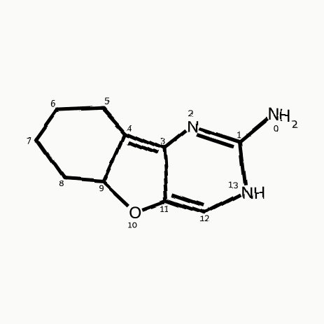 NC1=NC2=C3CCCCC3OC2=CN1